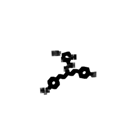 Br.Cc1ccc(C=CC(C=Cc2ccc(Cl)cc2)=NNC2=NCCN2)cc1